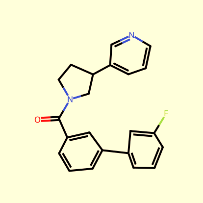 O=C(c1cccc(-c2cccc(F)c2)c1)N1CCC(c2cccnc2)C1